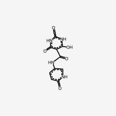 O=C(Nc1ccc(=O)[nH]c1)c1c(O)[nH]c(=O)[nH]c1=O